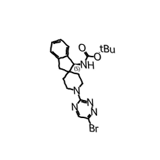 CC(C)(C)OC(=O)N[C@@H]1c2ccccc2CC12CCN(c1ncc(Br)nn1)CC2